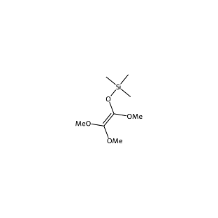 COC(OC)=C(OC)O[Si](C)(C)C